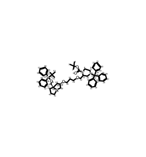 CC(C)(C)OC(=O)N1CCN(C(c2ccccc2)(c2ccccc2)c2ccccc2)CC1COCCCO[C@H]1CN2CCC[C@]2(CO[Si](c2ccccc2)(c2ccccc2)C(C)(C)C)C1